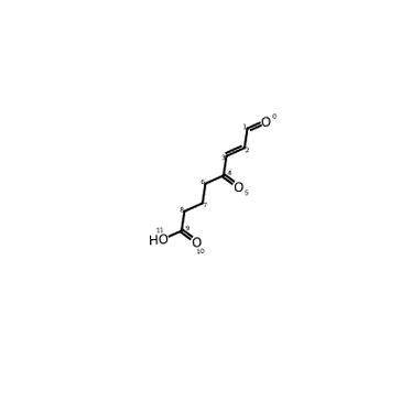 O=CC=CC(=O)CCCC(=O)O